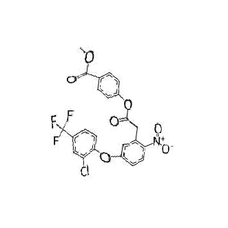 COC(=O)c1ccc(OC(=O)Cc2cc(Oc3ccc(C(F)(F)F)cc3Cl)ccc2[N+](=O)[O-])cc1